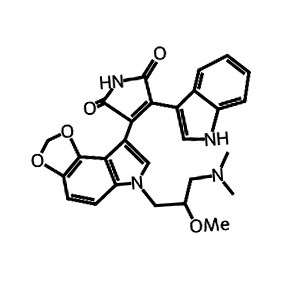 COC(CN(C)C)Cn1cc(C2=C(c3c[nH]c4ccccc34)C(=O)NC2=O)c2c3c(ccc21)OCO3